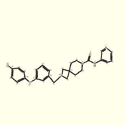 O=C(Nc1cccnc1)N1CCC2(CC1)CN(Cc1cccc(Oc3ccc(Cl)cc3)c1)C2